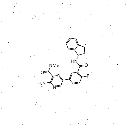 CNC(=O)c1nc(-c2ccc(F)c(C(=O)N[C@H]3CCc4ccccc43)c2)cnc1N